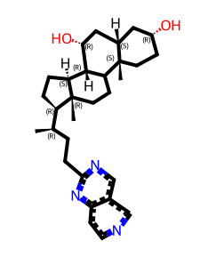 C[C@H](CCc1ncc2cnccc2n1)[C@H]1CC[C@H]2[C@H]3C(CC[C@]12C)[C@@]1(C)CC[C@@H](O)C[C@H]1C[C@H]3O